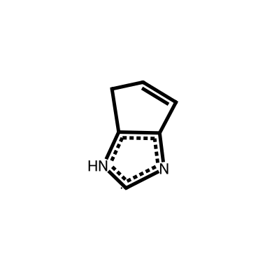 [c]1nc2c([nH]1)CC=C2